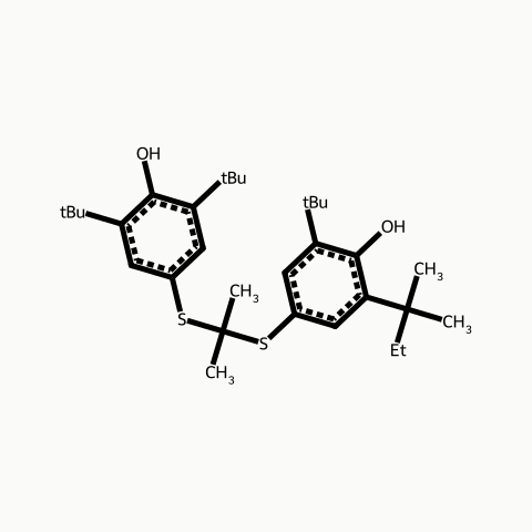 [CH2]CC(C)(C)c1cc(SC(C)(C)Sc2cc(C(C)(C)C)c(O)c(C(C)(C)C)c2)cc(C(C)(C)C)c1O